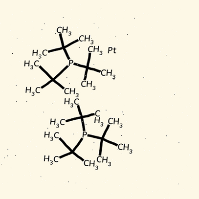 CC(C)(C)P(C(C)(C)C)C(C)(C)C.CC(C)(C)P(C(C)(C)C)C(C)(C)C.[Pt]